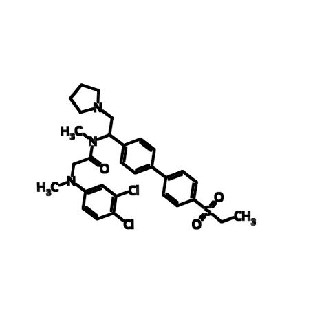 CCS(=O)(=O)c1ccc(-c2ccc(C(CN3CCCC3)N(C)C(=O)CN(C)c3ccc(Cl)c(Cl)c3)cc2)cc1